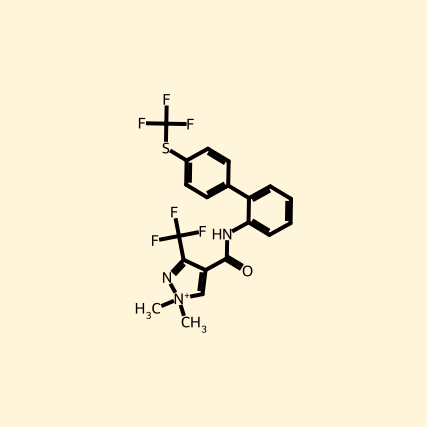 C[N+]1(C)C=C(C(=O)Nc2ccccc2-c2ccc(SC(F)(F)F)cc2)C(C(F)(F)F)=N1